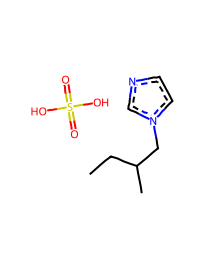 CCC(C)Cn1ccnc1.O=S(=O)(O)O